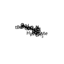 COC(=O)C1=C(C)NC(C)=C(C(=O)OCCOc2ccc(OCCNC(=O)OC(C)(C)C)cc2)C1c1cccc([N+](=O)[O-])c1